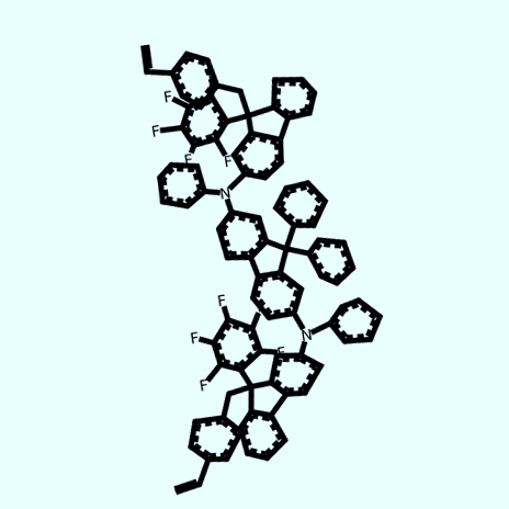 C=Cc1ccc(CC2(c3c(F)c(F)c(F)c(F)c3F)c3ccccc3-c3ccc(N(c4ccccc4)c4ccc5c(c4)C(c4ccccc4)(c4ccccc4)c4cc(N(c6ccccc6)c6ccc7c(c6)C(Cc6ccc(C=C)cc6)(c6c(F)c(F)c(F)c(F)c6F)c6ccccc6-7)ccc4-5)cc32)cc1